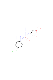 O=C(NC1=CC(=O)OC1)Nc1ccc(Cl)cc1